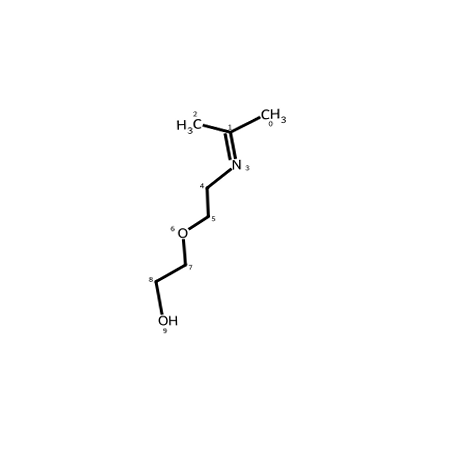 CC(C)=NCCOCCO